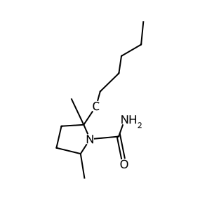 CCCCCCC1(C)CCC(C)N1C(N)=O